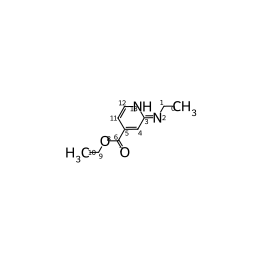 CC/N=c1/cc(C(=O)OCC)cc[nH]1